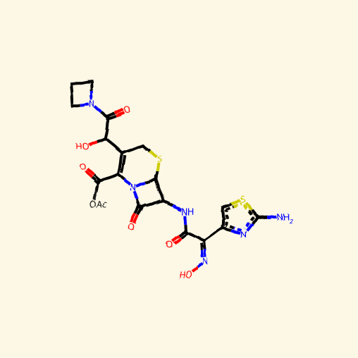 CC(=O)OC(=O)C1=C(C(O)C(=O)N2CCC2)CSC2C(NC(=O)/C(=N\O)c3csc(N)n3)C(=O)N12